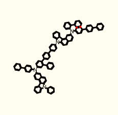 c1ccc(-c2ccc(-c3ccc(N(c4ccc5ccc6c(c5c4)c4ccccc4n6-c4ccc(-c5ccc(-c6ccc(N(c7ccc(-c8ccccc8)cc7)c7ccc8c(ccc9c8c8ccccc8n9-c8ccccc8)c7)cc6-c6ccccc6)cc5)cc4)c4ccccc4-c4ccccc4)cc3)cc2)cc1